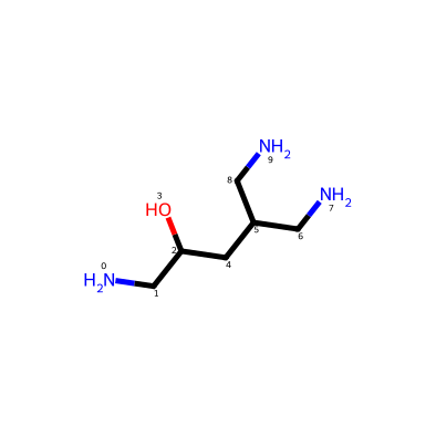 NCC(O)CC(CN)CN